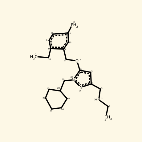 CCNCc1cc(OCc2cc(P)ccc2CC)n(CC2CCCCC2)n1